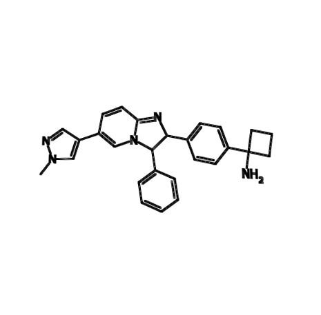 Cn1cc(C2=CN3C(=NC(c4ccc(C5(N)CCC5)cc4)C3c3ccccc3)C=C2)cn1